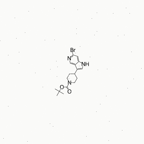 CC(C)(C)OC(=O)N1CCC(c2c[nH]c3cc(Br)ncc23)CC1